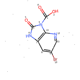 O=C(O)n1c(=O)[nH]c2cc(Br)cnc21